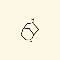 C1CC2CNCC(C2)S1